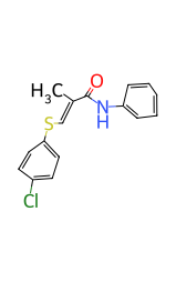 C/C(=C\Sc1ccc(Cl)cc1)C(=O)Nc1ccccc1